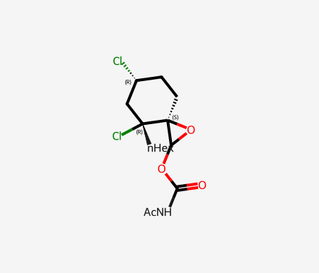 CCCCCC[C@@]1(Cl)C[C@H](Cl)CC[C@@]12OC2OC(=O)NC(C)=O